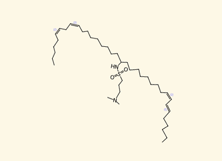 CCCCC/C=C\C/C=C\CCCCCCCCC(CCCCCCCC/C=C\C=C\CCCCC)NS(=O)(=O)CCCN(C)C